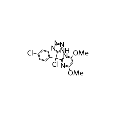 COc1cc(OC)nc(C(Cl)(c2ccc(Cl)cc2)c2nnn[nH]2)n1